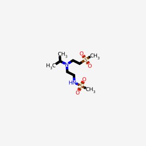 CC(C)N(CCNS(C)(=O)=O)CCS(C)(=O)=O